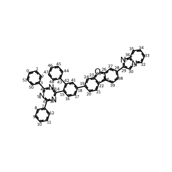 c1ccc(-c2nc(-c3ccccc3)nc(-c3ccc(-c4ccc5c(c4)oc4cc(-c6cn7ccccc7n6)ccc45)cc3-c3ccccc3)n2)cc1